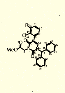 COC(=O)Cn1c(=O)c(-c2cccc(F)c2Cl)cn(C(c2ccccc2)c2ccccc2)c1=O